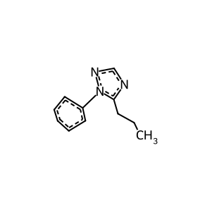 CCCc1ncnn1-c1ccccc1